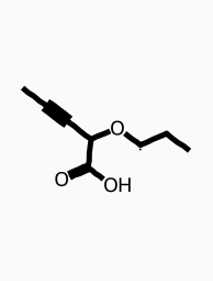 CC#CC(O[CH]CC)C(=O)O